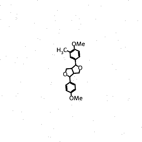 COc1ccc(C2OCC3C(c4ccc(OC)c(C)c4)OCC23)cc1